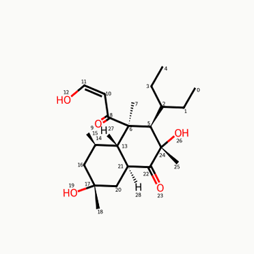 CCC(CC)[C@@H]1[C@](C)(C(=O)/C=C\O)[C@H]2[C@H](C)C[C@@](C)(O)C[C@@H]2C(=O)[C@@]1(C)O